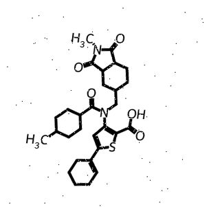 CC1CCC(C(=O)N(CC2CCC3C(=O)N(C)C(=O)C3C2)c2cc(C3=CCCCC3)sc2C(=O)O)CC1